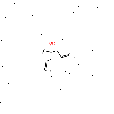 C=CCC(C)(O)CC=C